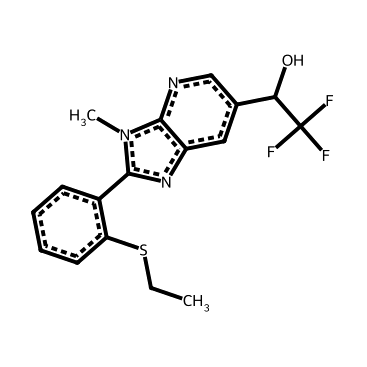 CCSc1ccccc1-c1nc2cc(C(O)C(F)(F)F)cnc2n1C